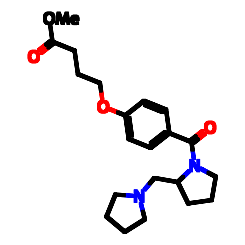 COC(=O)CCCOc1ccc(C(=O)N2CCCC2CN2CCCC2)cc1